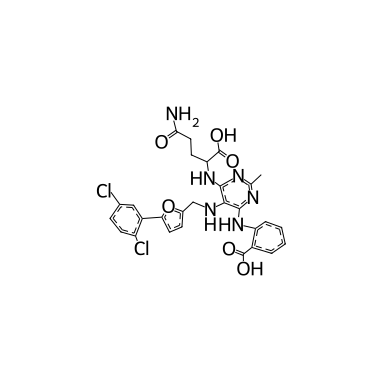 Cc1nc(Nc2ccccc2C(=O)O)c(NCc2ccc(-c3cc(Cl)ccc3Cl)o2)c(NC(CCC(N)=O)C(=O)O)n1